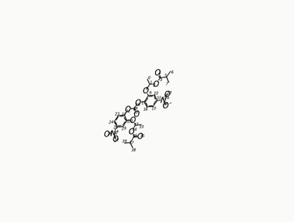 CC(OC(=O)C(C)C)Oc1cc([N+](=O)[O-])ccc1OC(=O)Oc1ccc([N+](=O)[O-])cc1OC(C)OC(=O)C(C)C